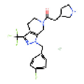 Cl.O=C(CC1CCNC1)N1CCc2c(C(F)(F)F)nn(Cc3ccc(F)cc3)c2C1